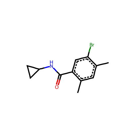 Cc1cc(C)c(C(=O)NC2CC2)cc1Br